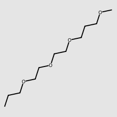 CCCOCCOCCOCCCOC